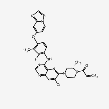 C=CC(=O)N1CCN(c2nc3c(Nc4ccc(Oc5ccn6ncnc6c5)c(C)c4F)ncnc3cc2Cl)C[C@@H]1C